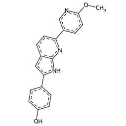 COc1ccc(-c2ccc3cc(-c4ccc(O)cc4)[nH]c3n2)cn1